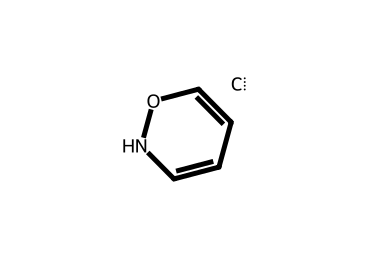 C1=CNOC=C1.[C]